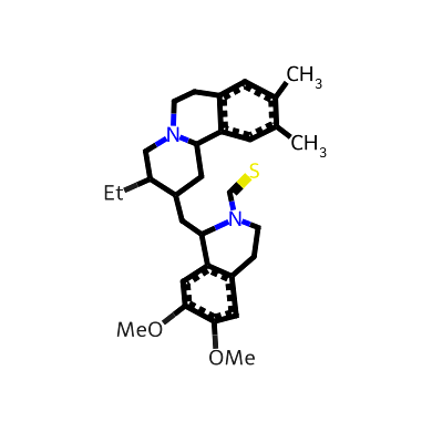 CCC1CN2CCc3cc(C)c(C)cc3C2CC1CC1c2cc(OC)c(OC)cc2CCN1C=S